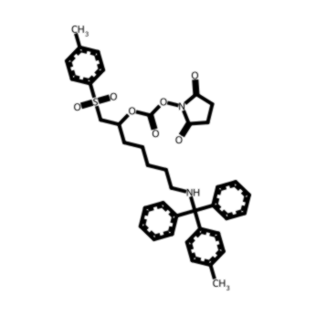 Cc1ccc(C(NCCCCCC(CS(=O)(=O)c2ccc(C)cc2)OC(=O)ON2C(=O)CCC2=O)(c2ccccc2)c2ccccc2)cc1